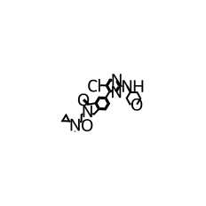 CN(C(=O)CN1Cc2ccc(-c3nc(NC4CCOCC4)ncc3Cl)cc2C1=O)C1CC1